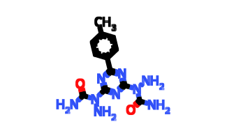 Cc1ccc(-c2nc(N(N)C(N)=O)nc(N(N)C(N)=O)n2)cc1